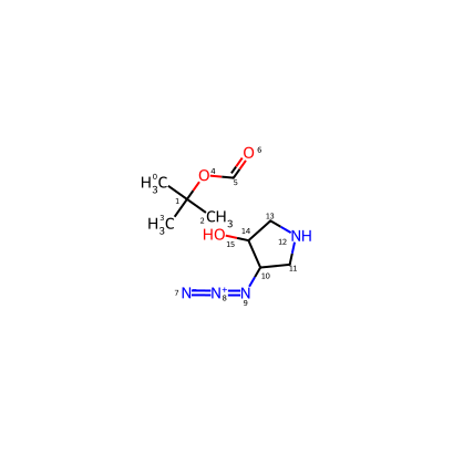 CC(C)(C)OC=O.[N-]=[N+]=NC1CNCC1O